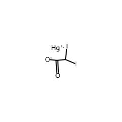 O=C([O-])C(I)I.[Hg+]